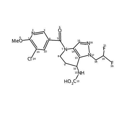 COc1ncc(C(=O)N2CCC(NC(=O)O)c3c2cnn3CC(F)F)cc1Cl